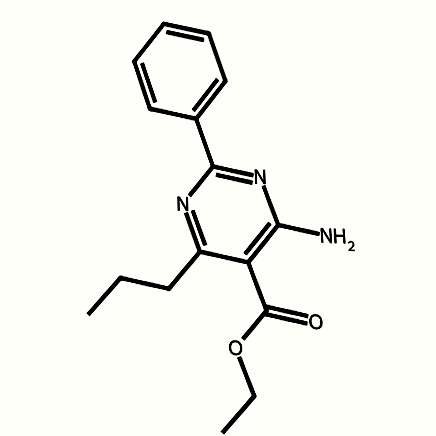 CCCc1nc(-c2ccccc2)nc(N)c1C(=O)OCC